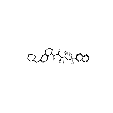 O=C(N[C@@H]1CCCc2cc(CN3CCCCC3)ccc21)[C@H](O)[C@H](O)CS(=O)(=O)c1ccc2ccccc2c1